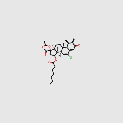 C=C1C(=C)[C@@]2(C)C(=CC1=O)C(Cl)=C[C@@H]1[C@@H]2CC[C@@]2(C)[C@H]1C(OC(=O)CCCCCC)C[C@]2(OC(C)=O)C(C)=O